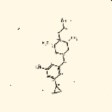 C[C@@H]1CN(Cc2cc(N)cc(C3CC3)c2)C[C@H](C)N1CCO